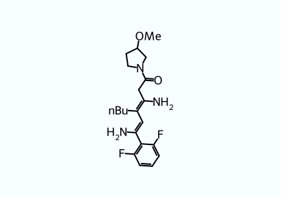 CCCCC(/C=C(\N)c1c(F)cccc1F)=C(/N)CC(=O)N1CCC(OC)C1